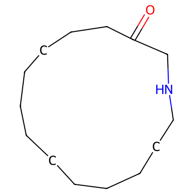 O=C1CCCCCCCCCCCCNC1